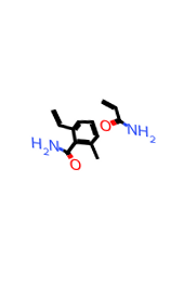 C=CC(N)=O.C=Cc1cccc(C)c1C(N)=O